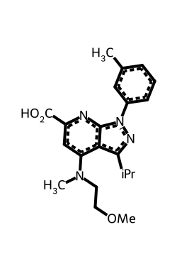 COCCN(C)c1cc(C(=O)O)nc2c1c(C(C)C)nn2-c1cccc(C)c1